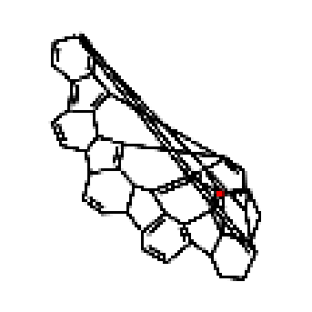 Fc1cccc2c1CC13c4c5c6ccc7c5c5c8c9c%10c(c%11c%12c(ccc%13c%14c(c%10c%13%12)C%10C9=C9C(C=CC7C95)C%10C=C%14)=C(CCC61)C%113C2)c48